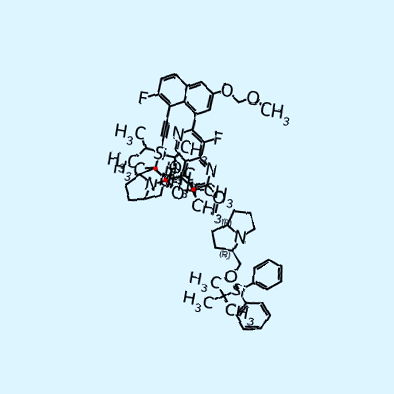 COCOc1cc(-c2ncc3c(N4CC5CCC(C4)N5C(=O)OC(C)(C)C)nc(OC[C@]45CCCN4[C@@H](CO[Si](c4ccccc4)(c4ccccc4)C(C)(C)C)CC5)nc3c2F)c2c(C#C[Si](C(C)C)(C(C)C)C(C)C)c(F)ccc2c1